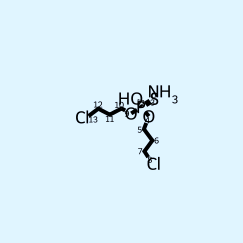 N.OP(=S)(OCCCCl)OCCCCl